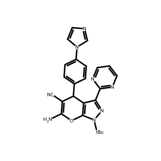 CC(C)(C)n1nc(-c2ncccn2)c2c1OC(N)=C(C#N)C2c1ccc(-n2ccnc2)cc1